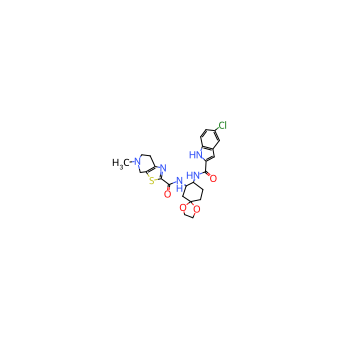 CN1CCc2nc(C(=O)N[C@@H]3CC4(CC[C@@H]3NC(=O)c3cc5cc(Cl)ccc5[nH]3)OCCO4)sc2C1